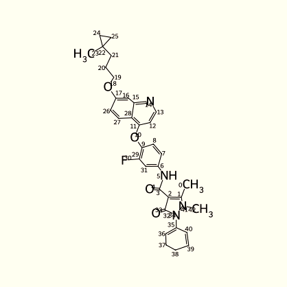 Cc1c(C(=O)Nc2ccc(Oc3ccnc4cc(OCCCC5(C)CC5)ccc34)c(F)c2)c(=O)n(C2=CCCC=C2)n1C